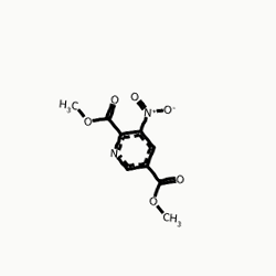 COC(=O)c1cnc(C(=O)OC)c([N+](=O)[O-])c1